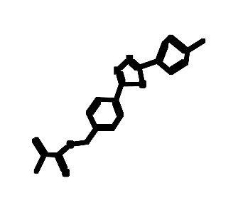 C=C(C)C(=O)OCc1ccc(-c2nnc(-c3ccc(C)cc3)o2)cc1